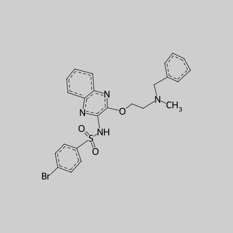 CN(CCOc1nc2ccccc2nc1NS(=O)(=O)c1ccc(Br)cc1)Cc1ccccc1